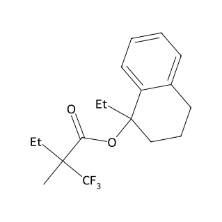 CCC1(OC(=O)C(C)(CC)C(F)(F)F)CCCc2ccccc21